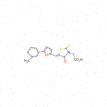 Cc1cccc(-c2ccc(/C=C3\SC(=S)N(CC(=O)O)C3=O)o2)c1